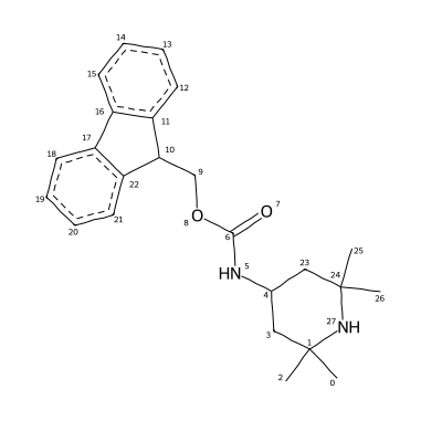 CC1(C)CC(NC(=O)OCC2c3ccccc3-c3ccccc32)CC(C)(C)N1